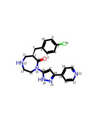 O=C1[C@H](Cc2ccc(Cl)cc2)CNCCN1c1cc(-c2ccncc2)n[nH]1